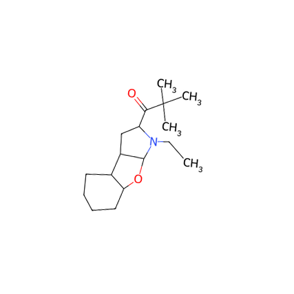 CCN1C(C(=O)C(C)(C)C)CC2C3CCCCC3OC21